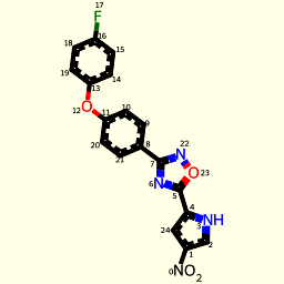 O=[N+]([O-])c1c[nH]c(-c2nc(-c3ccc(Oc4ccc(F)cc4)cc3)no2)c1